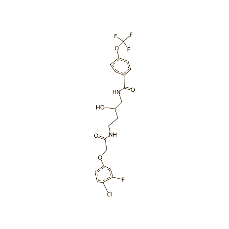 O=C(COc1ccc(Cl)c(F)c1)NCCC(O)CNC(=O)c1ccc(OC(F)(F)F)cc1